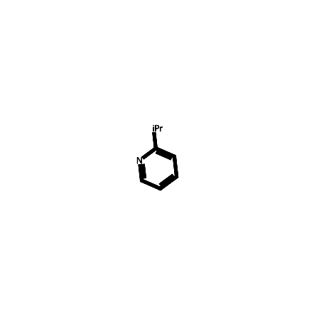 [CH2]C([CH2])c1ccccn1